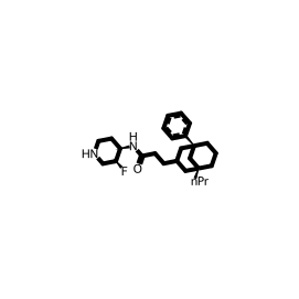 CCC[C@@]12CCC[C@@](c3ccccc3)(CC(CCC(=O)N[C@@H]3CCNC[C@@H]3F)C1)C2